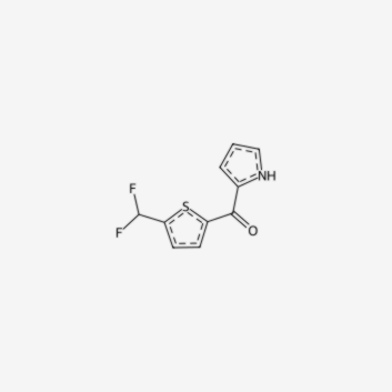 O=C(c1ccc[nH]1)c1ccc(C(F)F)s1